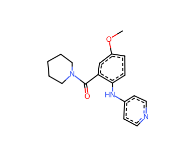 COc1ccc(Nc2ccncc2)c(C(=O)N2CCCCC2)c1